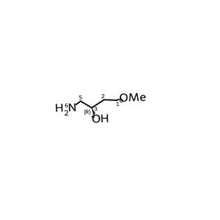 COCC[C@@H](O)CN